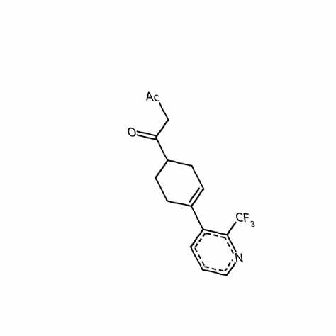 CC(=O)CC(=O)C1CC=C(c2cccnc2C(F)(F)F)CC1